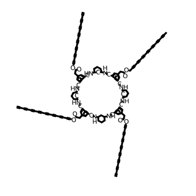 C#CC#CC#CC#CC#CC#CC#CC#COC(=O)Cc1cc2c(C)c(c1)CNC1CCCC(C1)NCc1cc(CC(=O)OC#CC#CC#CC#CC#CC#CC#CC#C)cc(c1C)CNC1CCCC(C1)NCc1cc(CC(=O)OCC#CC#CC#CC#CC#CC#CC#CC)cc(c1C)CNC1CCCC(C1)NCc1cc(CC(=O)OC#CC#CC#CC#CC#CC#CC#CC#C)cc(c1C)CNC1CCCC(C1)NC2